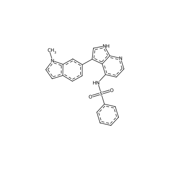 Cn1ccc2ccc(-c3c[nH]c4nccc(NS(=O)(=O)c5ccccc5)c34)cc21